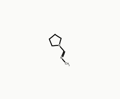 CN=CN1C[CH]CC1